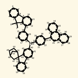 CC1(C)c2ccccc2-c2cccc(-c3cccc(N(c4ccc(-c5cc6ccccc6c6ccccc56)cc4)c4ccc5c(c4)C4(CC6CCC4C6)c4ccccc4-5)c3)c21